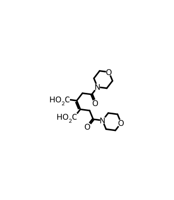 O=C(O)C(CC(=O)N1CCOCC1)=C(CC(=O)N1CCOCC1)C(=O)O